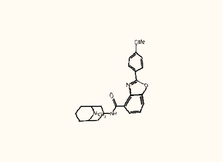 COc1ccc(-c2nc3c(C(=O)NC4CC5CCCC(C4)N5C)cccc3o2)cc1